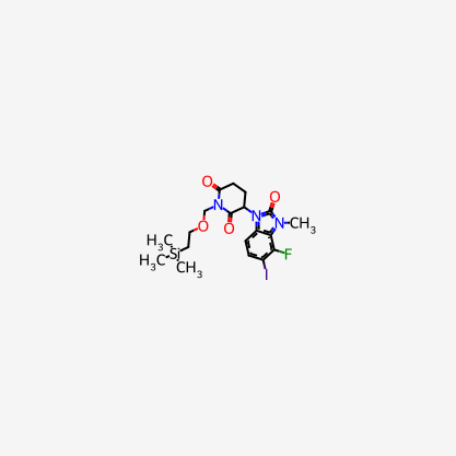 Cn1c(=O)n(C2CCC(=O)N(COCC[Si](C)(C)C)C2=O)c2ccc(I)c(F)c21